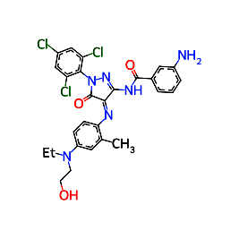 CCN(CCO)c1ccc(/N=C2\C(=O)N(c3c(Cl)cc(Cl)cc3Cl)N=C2NC(=O)c2cccc(N)c2)c(C)c1